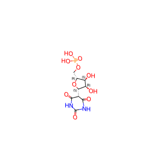 O=C1NC(=O)C([C@@H]2O[C@H](COP(=O)(O)O)[C@@H](O)[C@H]2O)C(=O)N1